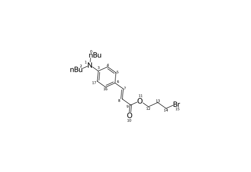 CCCCN(CCCC)c1ccc(C=CC(=O)OCCCBr)cc1